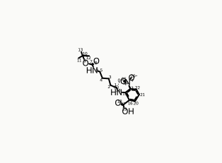 C[C@@H](CCCCNC(=O)OC(C)(C)C)Nc1c(C(=O)O)cccc1[N+](=O)[O-]